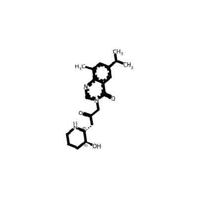 Cc1cc(C(C)C)cc2c(=O)n(CC(=O)C[C@H]3NCCC[C@@H]3O)cnc12